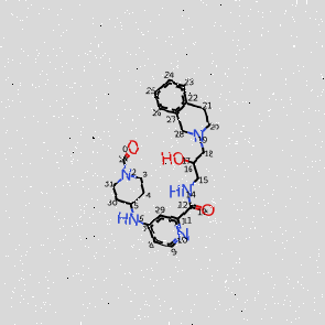 O=CN1CCC(Nc2ccnc(C(=O)NCC(O)CN3CCc4ccccc4C3)c2)CC1